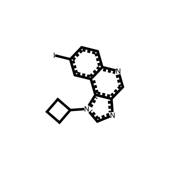 Ic1ccc2ncc3ncn(C4CCC4)c3c2c1